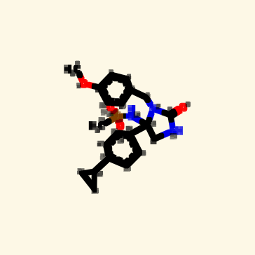 COc1ccc(CN2C(=O)NCC2(NS(C)(=O)=O)c2ccc(C3CC3)cc2)cc1